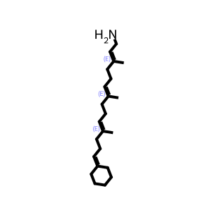 C/C(=C\CC/C(C)=C/CC/C(C)=C/CN)CCC=C1CCCCC1